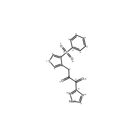 O=C(Cc1cscc1S(=O)(=O)c1ccccc1)C(=O)c1nc[nH]n1